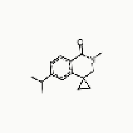 CC(C)c1ccc2c(c1)C1(CC1)CN(C)C2=O